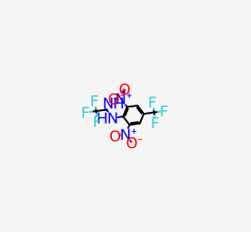 N=C(Nc1c([N+](=O)[O-])cc(C(F)(F)F)cc1[N+](=O)[O-])C(F)(F)F